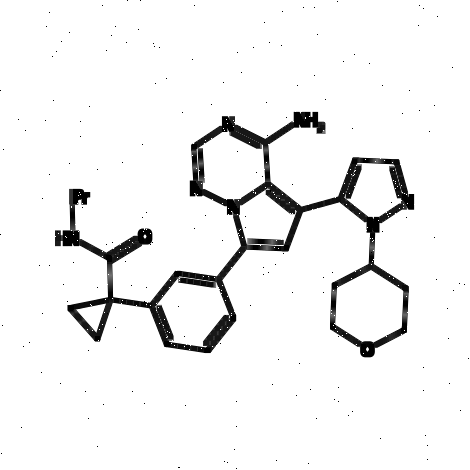 CC(C)NC(=O)C1(c2cccc(-c3cc(-c4ccnn4C4CCOCC4)c4c(N)ncnn34)c2)CC1